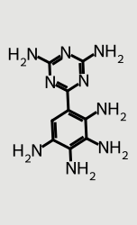 Nc1nc(N)nc(-c2cc(N)c(N)c(N)c2N)n1